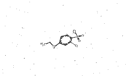 CCOc1ccc(S(=O)(=O)Cl)c(Cl)c1